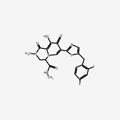 CNC(=O)C1CN(C)C(=O)c2c(O)c(=O)c(-c3ncc(Cc4ccc(F)cc4F)s3)cn21